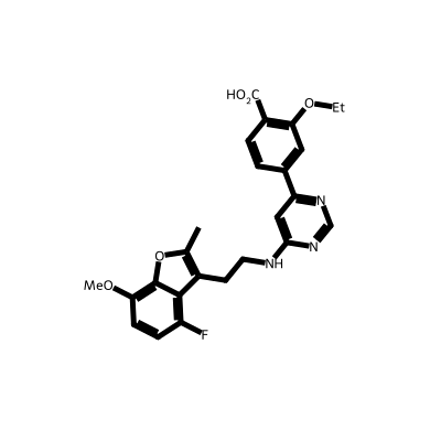 CCOc1cc(-c2cc(NCCc3c(C)oc4c(OC)ccc(F)c34)ncn2)ccc1C(=O)O